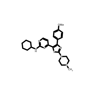 COc1ccc(-c2nc(N3CCN(C)CC3)sc2-c2ccnc(NC3CCCCC3)n2)cc1